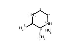 CC1NCCNC1C.Cl